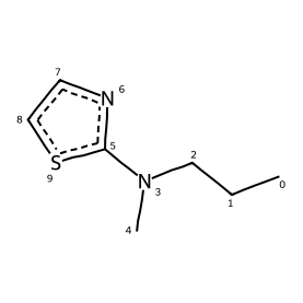 CCCN(C)c1nccs1